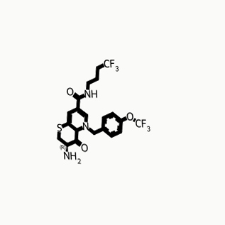 N[C@H]1CSC2=CC(C(=O)NCCCC(F)(F)F)=CN(Cc3ccc(OC(F)(F)F)cc3)C2C1=O